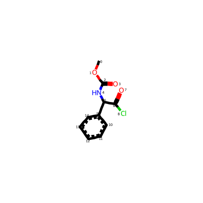 COC(=O)NC(C(=O)Cl)c1ccccc1